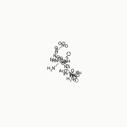 CC[C@H](NC(=O)[C@@H](CCCCN)NC(=O)[C@H](CSc1ccccc1)NC(=O)c1csc([C@@H](C[C@H](C(C)C)N(C)C(=O)[C@@H](NC(=O)[C@H]2CCCCN2C)[C@@H](C)CC)OC(C)=O)n1)C(=O)N=C1CN(C(=O)CCCN2C(=O)C=CC2=O)C1